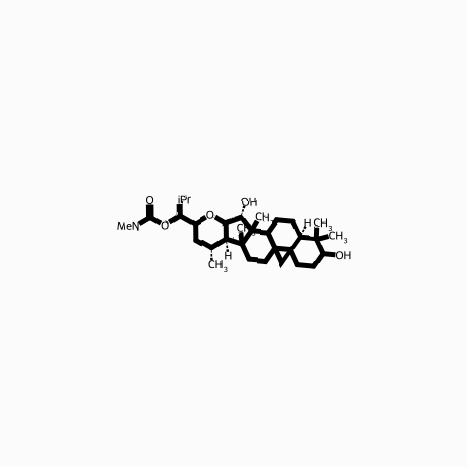 CNC(=O)OC(C(C)C)C1C[C@@H](C)[C@H]2C(O1)[C@H](O)C1(C)C3CC[C@H]4C(C)(C)C(O)CCC45CC35CCC21C